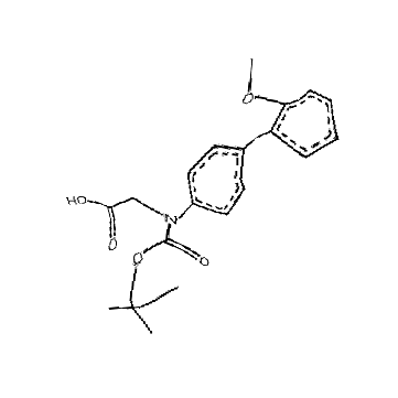 COc1ccccc1-c1ccc(N(CC(=O)O)C(=O)OC(C)(C)C)cc1